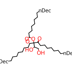 CCCCCCCCCCCCCCCCCC(=O)OC(C(=O)CCCCCCCCCCCCCCCCC)(C(=O)CCCCCCCCCCCCCCCCC)C(O)CO